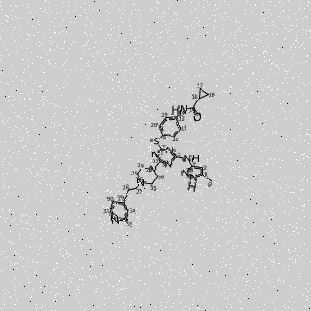 Cc1cc(Nc2nc(Sc3ccc(NC(=O)C4CC4)cc3)nc(N3CCN(CCc4ccncc4)CC3)n2)n[nH]1